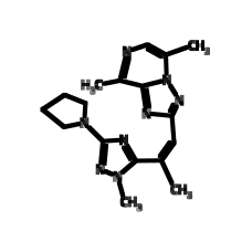 CC(=Cc1nc2c(C)ncc(C)n2n1)c1nc(N2CCCC2)nn1C